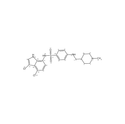 CN1CCC(SNc2ccc(S(=O)(=O)Nc3ccc(Cl)c4c(Cl)c[nH]c34)cc2)CC1